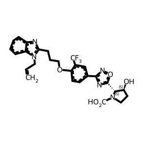 C=CCn1c(CCCOc2ccc(-c3noc([C@@H]4[C@@H](O)CCN4C(=O)O)n3)cc2C(F)(F)F)nc2ccccc21